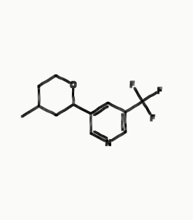 CC1CCOC(c2cncc(C(F)(F)F)c2)C1